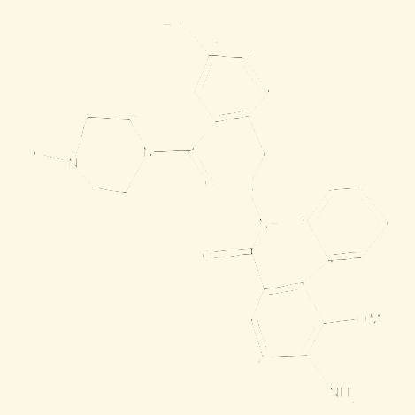 COc1c(N)ccc(C(=O)NOCc2ccc(C)cc2C(=O)N2CCN(C)CC2)c1-c1ccccc1